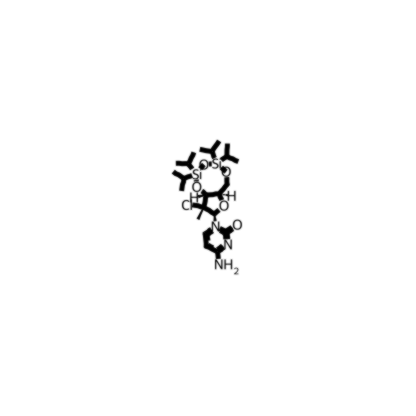 CC(C)[Si]1(C(C)C)OC[C@H]2O[C@@H](n3ccc(N)nc3=O)[C@](C)(Cl)[C@@H]2O[Si](C(C)C)(C(C)C)O1